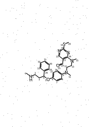 CNCCC(Oc1ccc(N(C)CCN(C)c2nc(SC)ncc2C=O)cc1)c1ccccc1